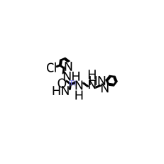 N=C/C(=C\NCCNCc1nc2ccccc2[nH]1)C(=O)NCc1ncccc1Cl